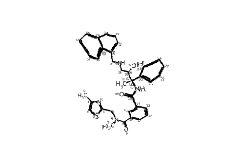 Cc1csc(CN(C)C(=O)c2cccc(C(=O)N[C@@](C)(c3ccccc3)[C@H](O)CNCc3cccc4ccccc34)c2)n1